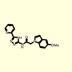 COc1ccc2c(ccn2CC(=O)Nc2nnc(-c3ccccn3)[nH]2)c1